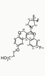 O=C(O)CCOc1ccc2c(c1)C(c1ccc(F)cc1)=C(C(=O)N1CCC(F)(F)C1)CO2